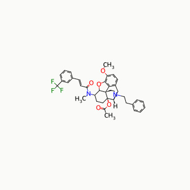 COc1ccc2c3c1OC1C(N(C)C(=O)/C=C/c4cccc(C(F)(F)F)c4)CC[C@@]4(OC(C)=O)[C@@H](C2)N(CCc2ccccc2)CC[C@]314